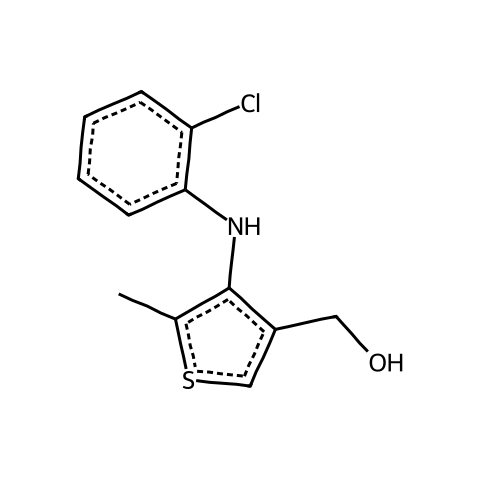 Cc1scc(CO)c1Nc1ccccc1Cl